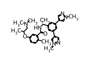 Cc1ccc(OC(C)CN(C)C)cc1C(=O)N[C@H](C)c1cc(-c2cnn(C)c2)cc(-c2cnn(C)c2)c1